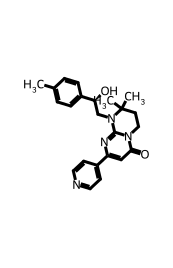 Cc1ccc([C@@H](O)CN2c3nc(-c4ccncc4)cc(=O)n3CCC2(C)C)cc1